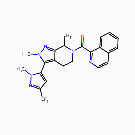 CC1c2nn(C)c(-c3cc(C(F)(F)F)nn3C)c2CCN1C(=O)c1nccc2ccccc12